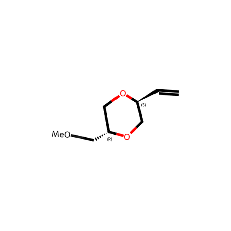 C=C[C@H]1CO[C@H](COC)CO1